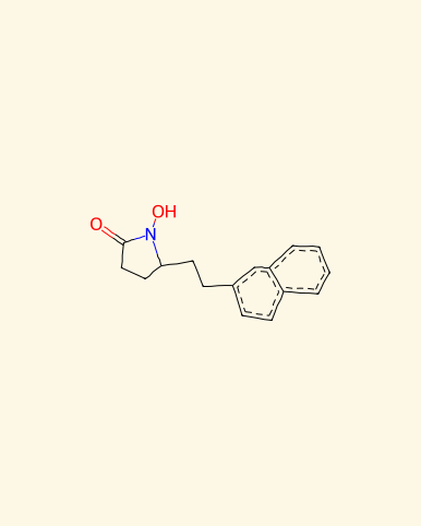 O=C1CCC(CCc2ccc3ccccc3c2)N1O